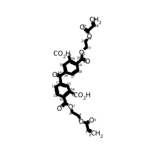 C=CC(=O)OCCOC(=O)c1ccc(C(=O)c2ccc(C(=O)OCCOC(=O)C=C)c(C(=O)O)c2)cc1C(=O)O